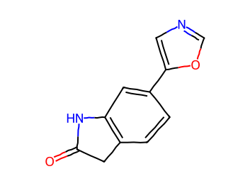 O=C1Cc2ccc(-c3cnco3)cc2N1